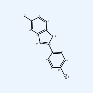 Cc1ccc2sc(-c3ccc(C(F)(F)F)cc3)nc2c1